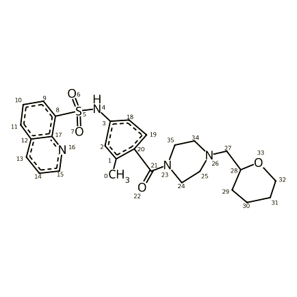 Cc1cc(NS(=O)(=O)c2cccc3cccnc23)ccc1C(=O)N1CCN(CC2CCCCO2)CC1